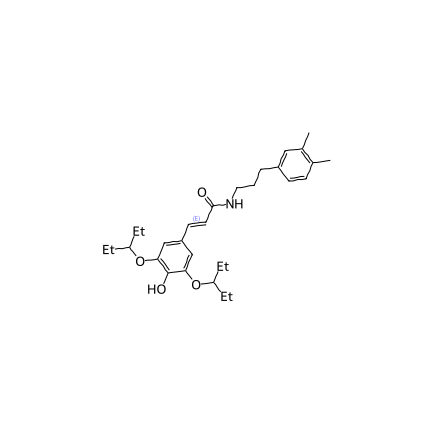 CCC(CC)Oc1cc(/C=C/C(=O)NCCCc2ccc(C)c(C)c2)cc(OC(CC)CC)c1O